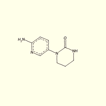 Nc1ccc(N2CCCNC2=O)cn1